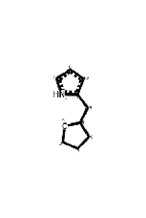 c1c[nH]c(CC2CCCO2)c1